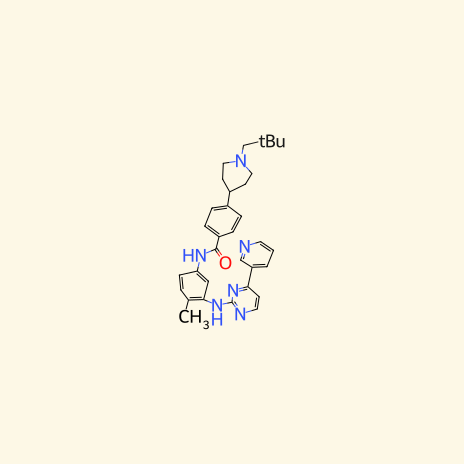 Cc1ccc(NC(=O)c2ccc(C3CCN(CC(C)(C)C)CC3)cc2)cc1Nc1nccc(-c2cccnc2)n1